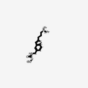 CC(C)N(CCCc1cc2cc(CNC(=O)OC(C)(C)C)ccc2s1)C(C)C